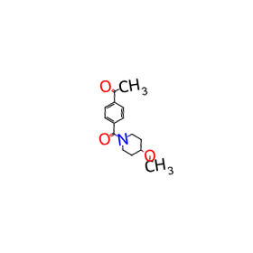 COC1CCN(C(=O)c2ccc(C(C)=O)cc2)CC1